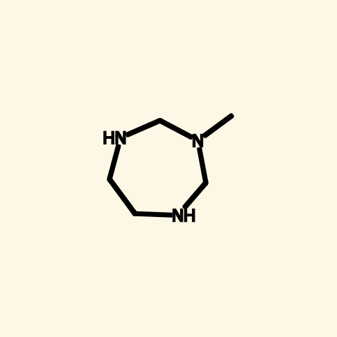 CN1CNCCNC1